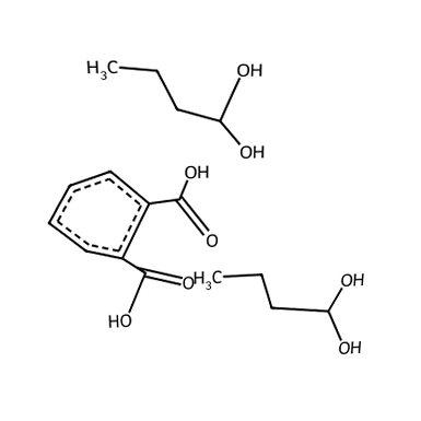 CCCC(O)O.CCCC(O)O.O=C(O)c1ccccc1C(=O)O